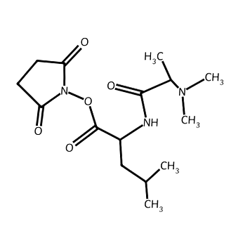 CC(C)CC(NC(=O)C(C)N(C)C)C(=O)ON1C(=O)CCC1=O